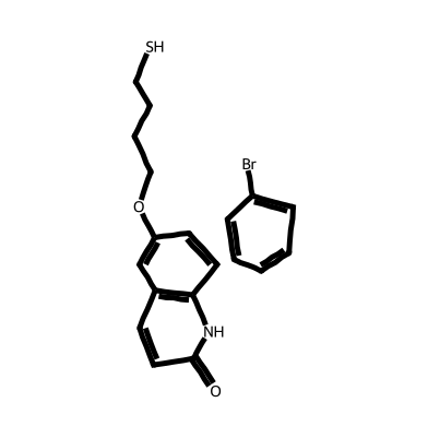 Brc1ccccc1.O=c1ccc2cc(OCCCCS)ccc2[nH]1